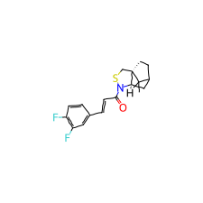 CC1(C)C2CC[C@]13CSN(C(=O)/C=C/c1ccc(F)c(F)c1)[C@@H]3C2